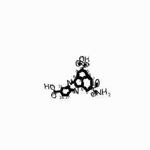 NS(=O)(=O)c1cc2c3c(cc(S(=O)(=O)O)cc3c1)-c1nc3cc(C(=O)O)ccc3nc1-2